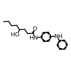 CCCCC(O)CCC(=O)Nc1ccc(Nc2ccccc2)cc1